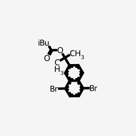 CCC(C)C(=O)OC(C)(C)c1ccc2c(Br)ccc(Br)c2c1